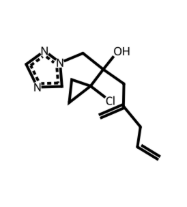 C=CCC(=C)CC(O)(Cn1cncn1)C1(Cl)CC1